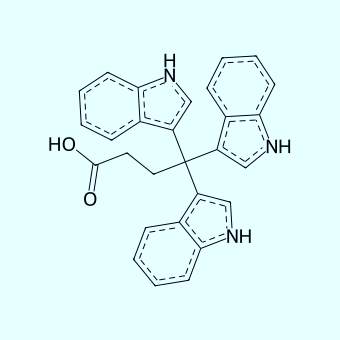 O=C(O)CCC(c1c[nH]c2ccccc12)(c1c[nH]c2ccccc12)c1c[nH]c2ccccc12